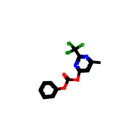 Cc1cc(OC(=O)Oc2ccccc2)nc(C(Cl)(Cl)Cl)n1